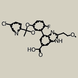 COCCc1nc2c(-c3c(F)ccc4c3OC(C)(c3ccc(Cl)cn3)O4)cc(C(=O)O)cc2[nH]1